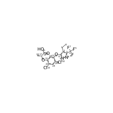 CCc1c(C(F)(F)F)nn(C)c1Oc1cc(O[C@@H](C)C(=O)O)c(Cl)cc1Cl